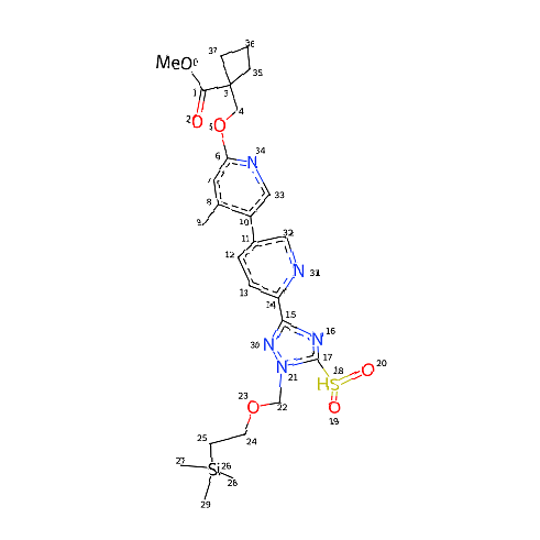 COC(=O)C1(COc2cc(C)c(-c3ccc(-c4nc([SH](=O)=O)n(COCC[Si](C)(C)C)n4)nc3)cn2)CCC1